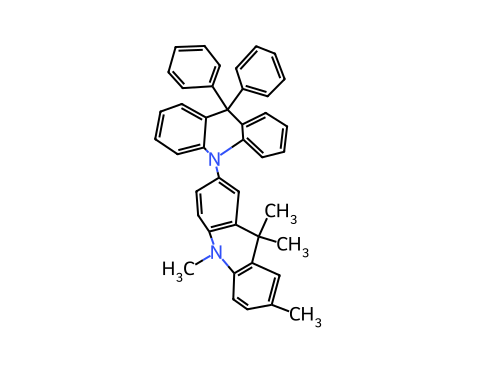 Cc1ccc2c(c1)C(C)(C)c1cc(N3c4ccccc4C(c4ccccc4)(c4ccccc4)c4ccccc43)ccc1N2C